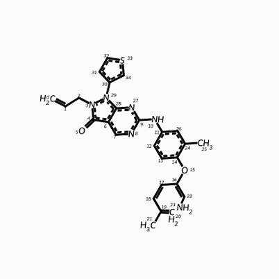 C=CCn1c(=O)c2cnc(Nc3ccc(OC(/C=C\C(=C)C)=C/N)c(C)c3)nc2n1-c1ccsc1